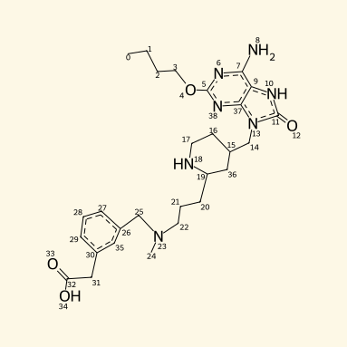 CCCCOc1nc(N)c2[nH]c(=O)n(CC3CCNC(CCCN(C)Cc4cccc(CC(=O)O)c4)C3)c2n1